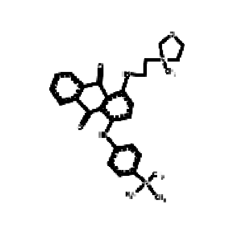 C[N+]1(CCNc2ccc(Nc3ccc([N+](C)(C)C)cc3)c3c2C(=O)c2ccccc2C3=O)CCOC1